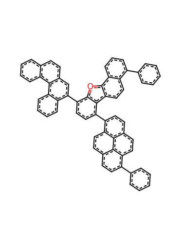 c1ccc(-c2cccc3c2ccc2c3oc3c(-c4cc5ccc6ccccc6c5c5ccccc45)ccc(-c4ccc5ccc6c(-c7ccccc7)ccc7ccc4c5c76)c32)cc1